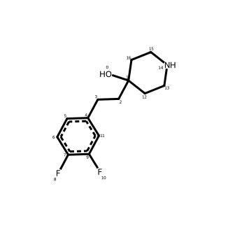 OC1(CCc2ccc(F)c(F)c2)CCNCC1